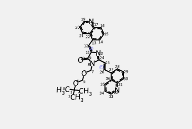 CC(C)(C)OCOCN1C(=O)/C(=C/c2cccc3ncccc23)N=C1/C=C/c1cccc2ncccc12